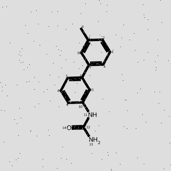 Cc1cccc(-c2cccc(NC(N)=O)c2)c1